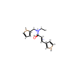 CCN(Cc1cccs1)C(=O)/C=C/c1ccsc1